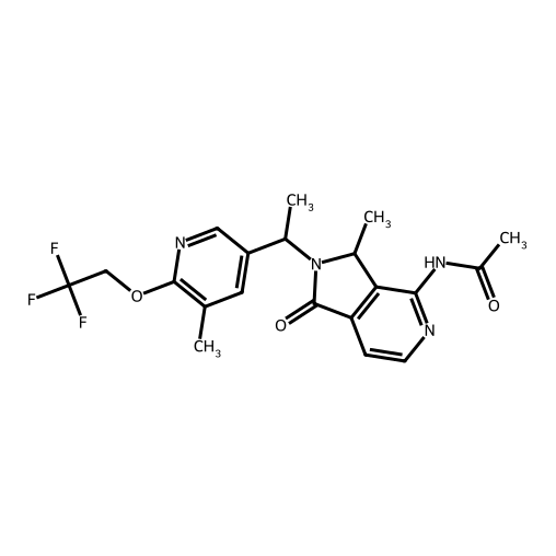 CC(=O)Nc1nccc2c1C(C)N(C(C)c1cnc(OCC(F)(F)F)c(C)c1)C2=O